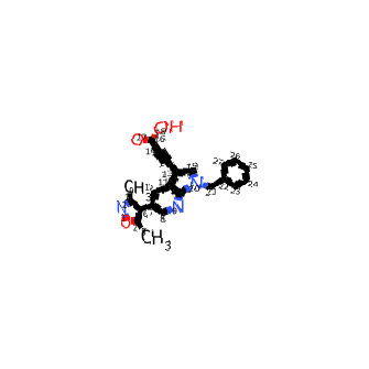 Cc1noc(C)c1-c1cnc2c(c1)c(C#CC(=O)O)cn2Cc1ccccc1